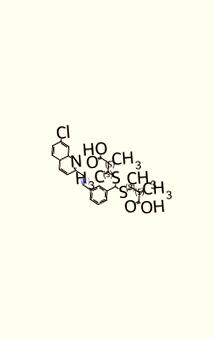 C[C@H](SC(S[C@@H](C)[C@@H](C)C(=O)O)c1cccc(/C=C/C2=NC3C=C(Cl)C=CC3C=C2)c1)[C@@H](C)C(=O)O